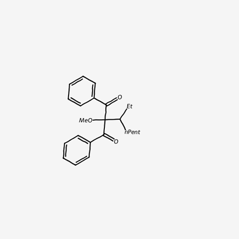 CCCCCC(CC)C(OC)(C(=O)c1ccccc1)C(=O)c1ccccc1